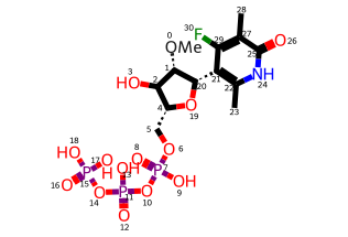 CO[C@H]1C(O)[C@@H](COP(=O)(O)OP(=O)(O)OP(=O)(O)O)O[C@H]1c1c(C)[nH]c(=O)c(C)c1F